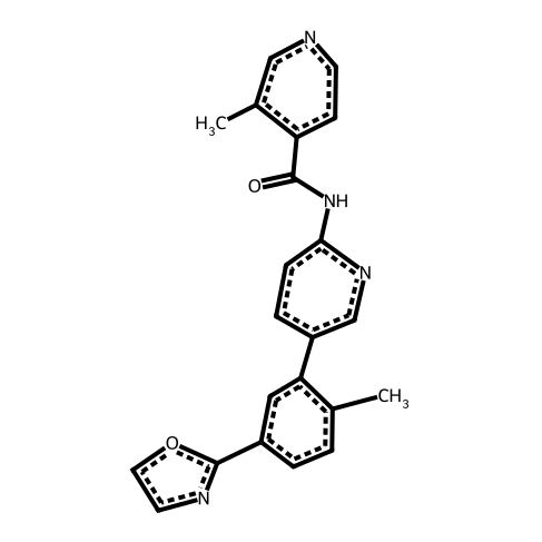 Cc1cnccc1C(=O)Nc1ccc(-c2cc(-c3ncco3)ccc2C)cn1